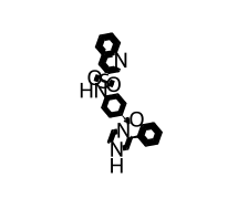 O=C([C@H]1CC[C@H](NS(=O)(=O)c2cnc3ccccc3c2)CC1)N1CCNC[C@@H]1c1ccccc1